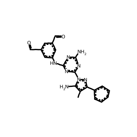 Cc1c(-c2ccccc2)nn(-c2nc(N)nc(Nc3cc(C=O)cc(C=O)c3)n2)c1N